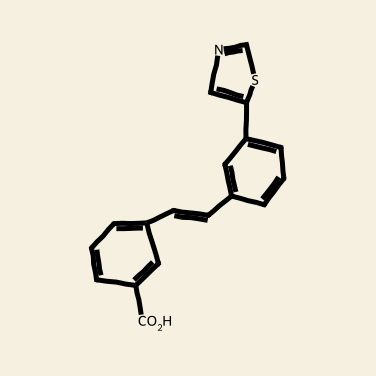 O=C(O)c1cccc(C=Cc2cccc(-c3cncs3)c2)c1